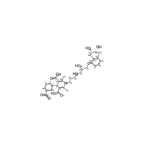 CC1=C(C(=O)O)C(c2cccc([N+](=O)[O-])c2)C(C(=O)O)=C(C)N1CCCNCC(O)COc1cccc2c1C[C@H](O)[C@H](O)C2